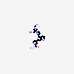 N#CCC1(n2ccc(-c3nc(-c4ccnc(C(N)=O)c4)cc4ncccc34)n2)CN(CC(F)(F)F)C1